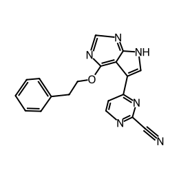 N#Cc1nccc(-c2c[nH]c3ncnc(OCCc4ccccc4)c23)n1